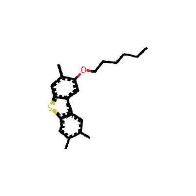 CCCCCCOc1cc2c(cc1C)sc1cc(C)c(C)cc12